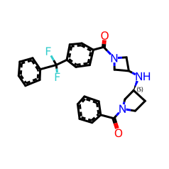 O=C(c1ccc(C(F)(F)c2ccccc2)cc1)N1CC(N[C@H]2CCN(C(=O)c3ccccc3)C2)C1